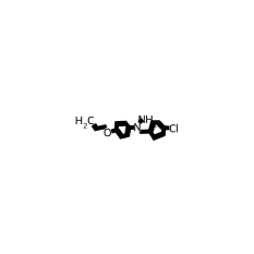 C=CCOc1ccc(N(N)Cc2ccc(Cl)cc2)cc1